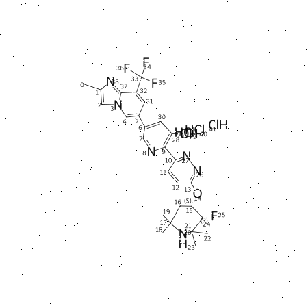 Cc1cn2cc(-c3cnc(-c4ccc(O[C@H]5CC(C)(C)NC(C)(C)[C@H]5F)nn4)c(O)c3)cc(C(F)(F)F)c2n1.Cl.Cl.Cl